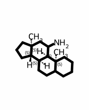 C[C@@]12CCC[C@H]1[C@@H]1CCC3CCCC[C@]3(C)[C@@H]1C(N)C2